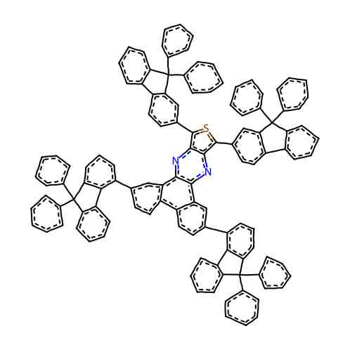 c1ccc(C2(c3ccccc3)c3ccccc3-c3ccc(-c4sc(-c5ccc6c(c5)C(c5ccccc5)(c5ccccc5)c5ccccc5-6)c5nc6c7cc(-c8cccc9c8-c8ccccc8C9(c8ccccc8)c8ccccc8)ccc7c7ccc(-c8cccc9c8-c8ccccc8C9(c8ccccc8)c8ccccc8)cc7c6nc45)cc32)cc1